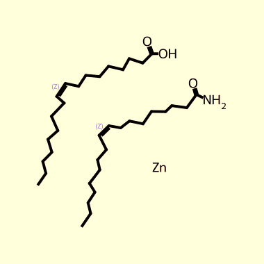 CCCCCCCC/C=C\CCCCCCCC(=O)O.CCCCCCCC/C=C\CCCCCCCC(N)=O.[Zn]